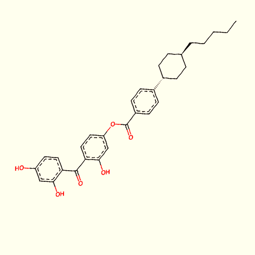 CCCCC[C@H]1CC[C@H](c2ccc(C(=O)Oc3ccc(C(=O)c4ccc(O)cc4O)c(O)c3)cc2)CC1